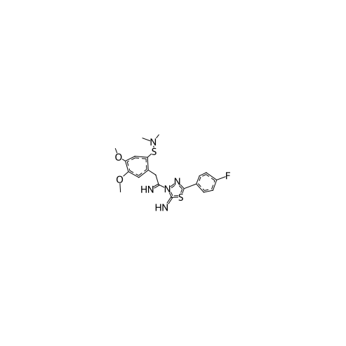 COc1cc(CC(=N)n2nc(-c3ccc(F)cc3)sc2=N)c(SN(C)C)cc1OC